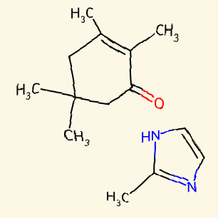 CC1=C(C)C(=O)CC(C)(C)C1.Cc1ncc[nH]1